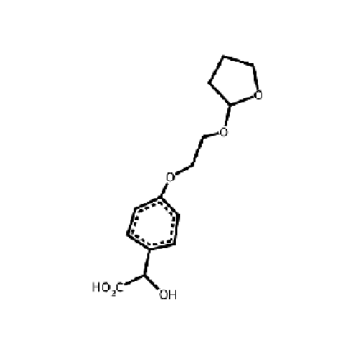 O=C(O)C(O)c1ccc(OCCOC2CCCO2)cc1